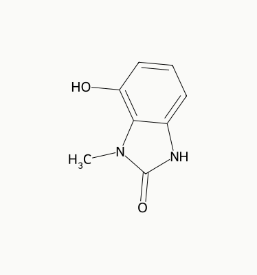 Cn1c(=O)[nH]c2cccc(O)c21